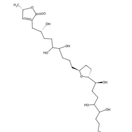 CCCCCCCCCCCCC(O)C(O)CC[C@H](O)[C@H]1CC[C@H](CCCC(O)C(O)CC[C@@H](O)CC2=C[C@H](C)OC2=O)O1